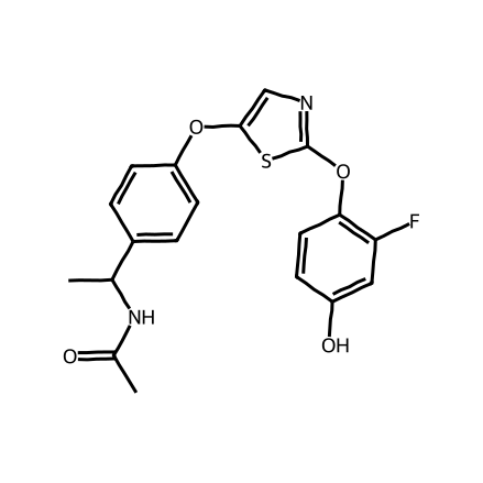 CC(=O)NC(C)c1ccc(Oc2cnc(Oc3ccc(O)cc3F)s2)cc1